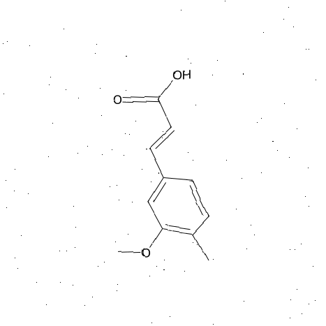 COc1cc(C=CC(=O)O)ccc1C